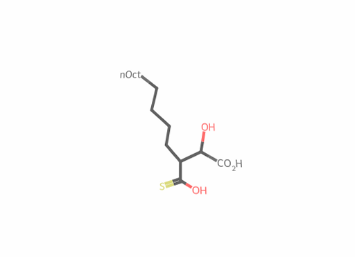 CCCCCCCCCCCCC(C(O)=S)C(O)C(=O)O